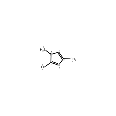 Bc1nc(C)cn1B